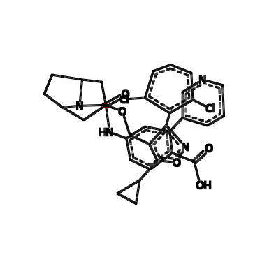 O=C(O)c1ccc(NC(=O)N2C3CCC2CC(OCc2c(-c4c(Cl)cccc4Cl)noc2C2CC2)C3)cc1-c1cccnc1